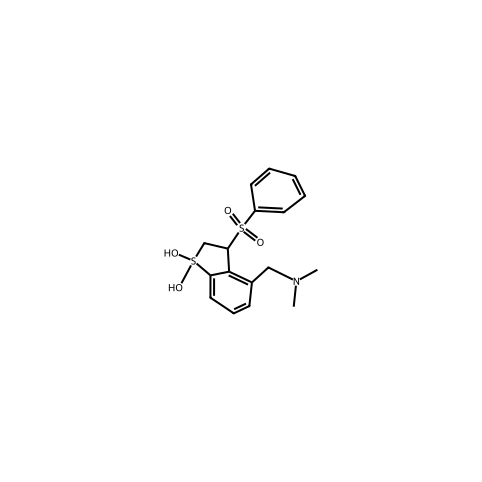 CN(C)Cc1cccc2c1C(S(=O)(=O)c1ccccc1)CS2(O)O